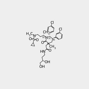 C[C@@H](CCN(C)S(=O)(=O)C1CC1)N1C(=O)[C@@](C)(CC(=O)NCCC(O)CO)C[C@H](c2cccc(Cl)c2)[C@H]1c1ccc(Cl)cc1